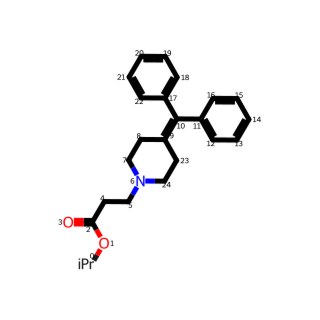 CC(C)OC(=O)CCN1CCC(=C(c2ccccc2)c2ccccc2)CC1